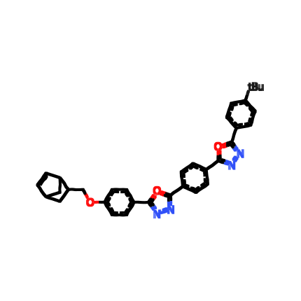 CC(C)(C)c1ccc(-c2nnc(-c3ccc(-c4nnc(-c5ccc(OCC6CC7C=CC6C7)cc5)o4)cc3)o2)cc1